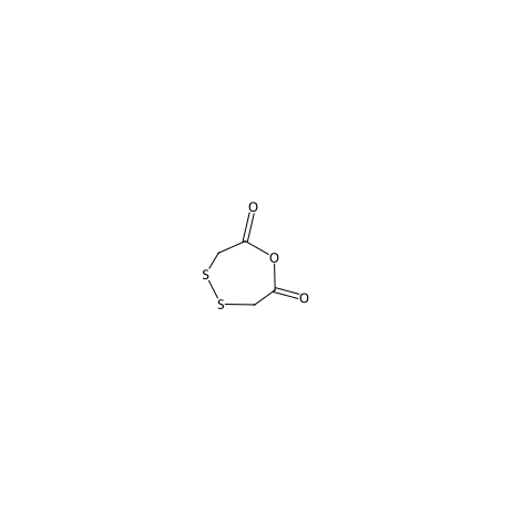 O=C1CSSCC(=O)O1